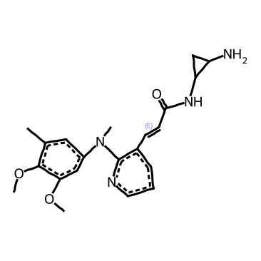 COc1cc(N(C)c2ncccc2/C=C/C(=O)NC2CC2N)cc(C)c1OC